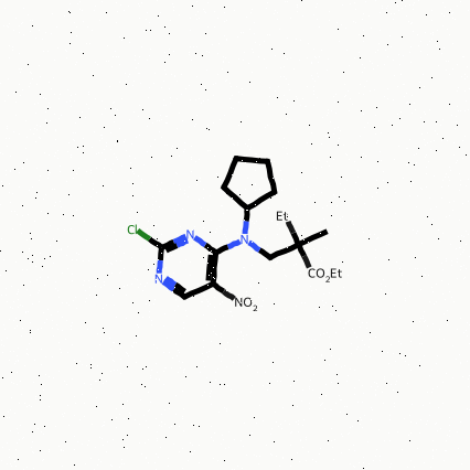 CCOC(=O)C(C)(CC)CN(c1nc(Cl)ncc1[N+](=O)[O-])C1CCCC1